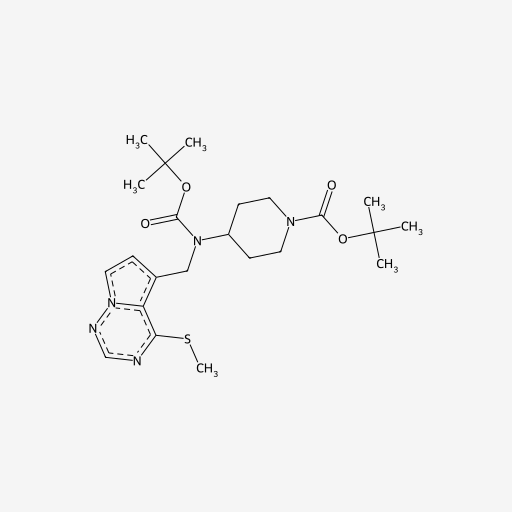 CSc1ncnn2ccc(CN(C(=O)OC(C)(C)C)C3CCN(C(=O)OC(C)(C)C)CC3)c12